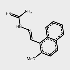 COc1ccc2ccccc2c1C=NNC(=N)N